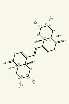 O=C1CC=C(/C=C/C2=CCC(=O)[C@@H]3C[C@@H](O)[C@@H](O)C[C@@H]23)[C@@H]2C[C@H](O)[C@H](O)C[C@@H]12